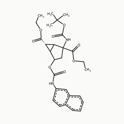 CCOC(=O)[C@H]1C2C(OC(=O)Nc3ccc4ccccc4c3)CC(NC(=O)OC(C)(C)C)(C(=O)OCC)C21